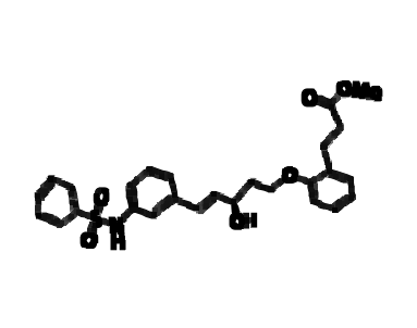 COC(=O)CCc1ccccc1OCC[C@@H](O)/C=C/c1cccc(NS(=O)(=O)c2ccccc2)c1